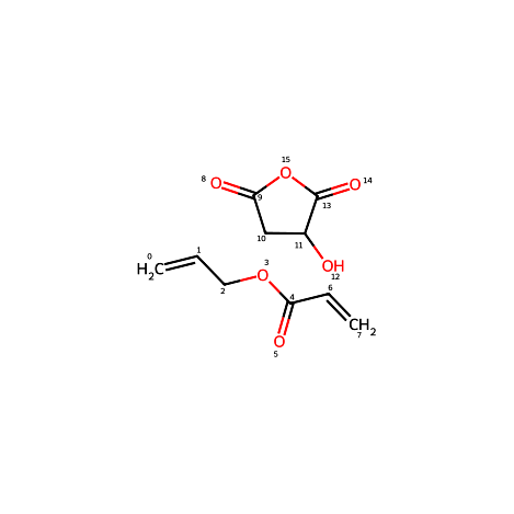 C=CCOC(=O)C=C.O=C1CC(O)C(=O)O1